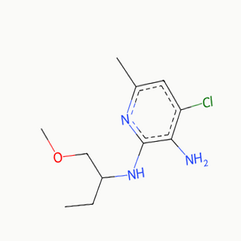 CCC(COC)Nc1nc(C)cc(Cl)c1N